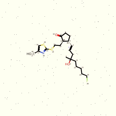 CC(O)(C/C=C/[C@H]1CCC(=O)[C@@H]1CCSc1nc(C(=O)O)cs1)CCCCCF